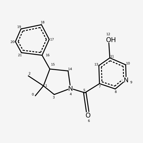 CC1(C)CN(C(=O)c2cncc(O)c2)CC1c1ccccc1